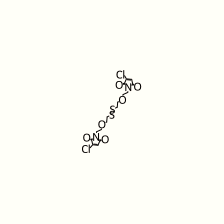 O=C1C=C(Cl)C(=O)N1CCOCCSSCCOCCN1C(=O)C=C(Cl)C1=O